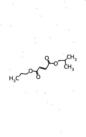 CCCOC(=O)C=CC(=O)OCC(C)C